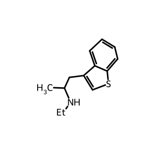 CCNC(C)Cc1csc2ccccc12